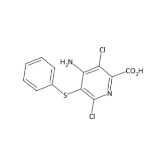 Nc1c(Cl)c(C(=O)O)nc(Cl)c1Sc1ccccc1